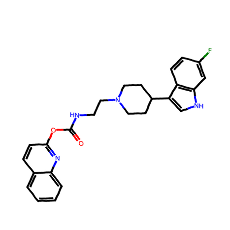 O=C(NCCN1CCC(c2c[nH]c3cc(F)ccc23)CC1)Oc1ccc2ccccc2n1